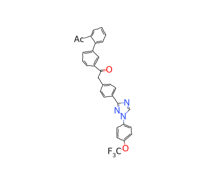 CC(=O)c1ccccc1-c1cccc(C(=O)Cc2ccc(-c3ncn(-c4ccc(OC(F)(F)F)cc4)n3)cc2)c1